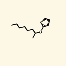 CCCCCCC(C)Oc1cccs1